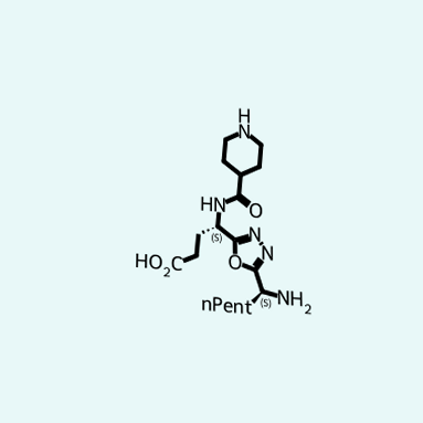 CCCCC[C@H](N)c1nnc([C@H](CCC(=O)O)NC(=O)C2CCNCC2)o1